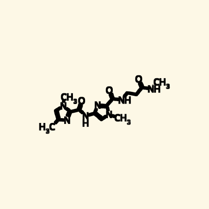 CNC(=O)CCNC(=O)c1nc(NC(=O)c2nc(C)cn2C)cn1C